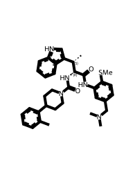 CSc1ccc(CN(C)C)cc1NC(=O)[C@H](NC(=O)N1CCC(c2ccccc2C)CC1)[C@@H](C)c1c[nH]c2ccccc12